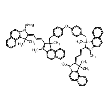 CCCCCN1/C(=C/C=C/C2=[N+](C)c3ccc4ccccc4c3C2(C)Cc2ccc(Oc3ccc(CC4(C)C(/C=C/C=C5/N(CCCC)c6ccc7ccccc7c6C5(C)C)=[N+](C)c5ccc6ccccc6c54)cc3)cc2)C(C)(C)c2c1ccc1ccccc21